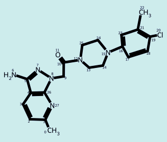 Cc1ccc2c(N)nn(CC(=O)N3CCN(c4ccc(Cl)c(C)c4)CC3)c2n1